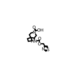 O=C(NC1CN(C(=O)O)CCC12CCC2)OCc1cscn1